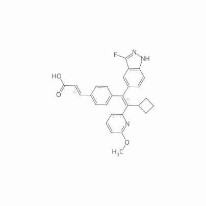 COc1cccc(/C(=C(\c2ccc(/C=C/C(=O)O)cc2)c2ccc3[nH]nc(F)c3c2)C2CCC2)n1